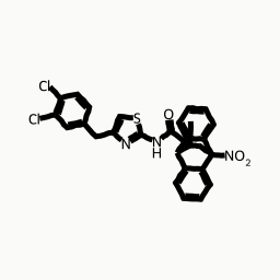 CC1(C(=O)Nc2nc(Cc3ccc(Cl)c(Cl)c3)cs2)CC2([N+](=O)[O-])c3ccccc3C1c1ccccc12